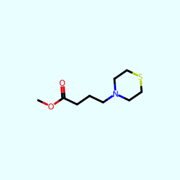 COC(=O)CCCN1CCSCC1